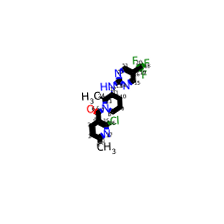 Cc1ccc(C(=O)N2CCC[C@@H](Nc3ncc(C(F)(F)F)cn3)[C@@H]2C)c(Cl)n1